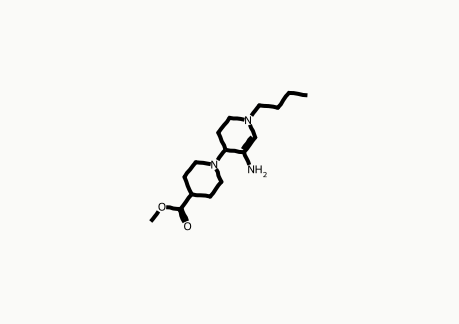 CCCCN1C=C(N)C(N2CCC(C(=O)OC)CC2)CC1